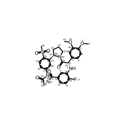 COc1ccc([C@H](Nc2cc(C(N)=O)ccc2F)C(=O)N2CCC[C@@H]2c2cc(NC(C)=O)ccc2S(C)(=O)=O)cc1OC